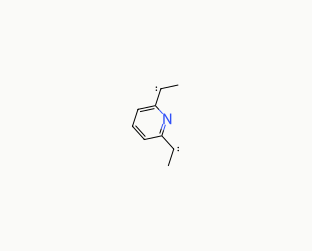 C[C]c1cccc([C]C)n1